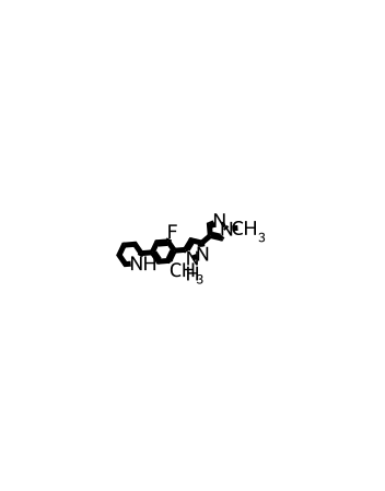 Cc1cc(C2CCCCN2)cc(F)c1-c1cc(-c2cnn(C)c2)n[nH]1